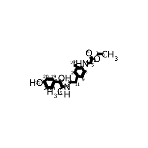 CCOC(=O)CNc1ccc(CCN[C@@H](C)[C@@H](O)c2ccc(O)cc2)cc1I